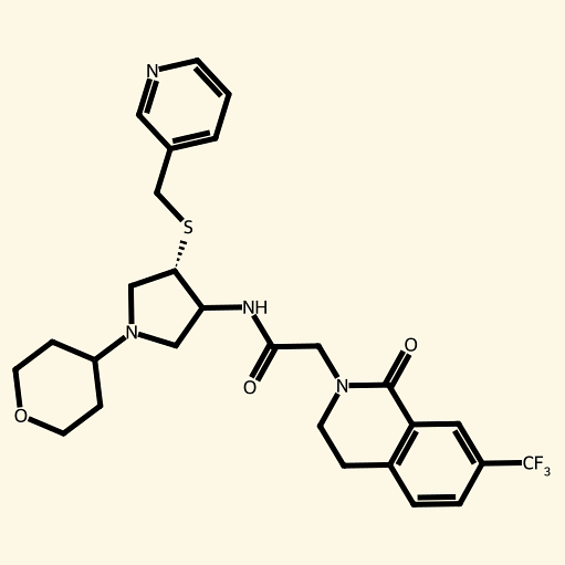 O=C(CN1CCc2ccc(C(F)(F)F)cc2C1=O)NC1CN(C2CCOCC2)C[C@@H]1SCc1cccnc1